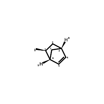 [CH2][C@H]1C[C@@H]2C=C[C@H]1C2